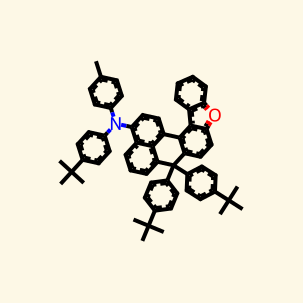 Cc1ccc(N(c2ccc(C(C)(C)C)cc2)c2ccc3c4c(cccc24)C(c2ccc(C(C)(C)C)cc2)(c2ccc(C(C)(C)C)cc2)c2ccc4oc5ccccc5c4c2-3)cc1